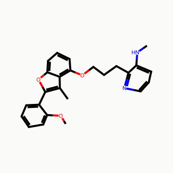 CNc1cccnc1CCCOc1cccc2oc(-c3ccccc3OC)c(C)c12